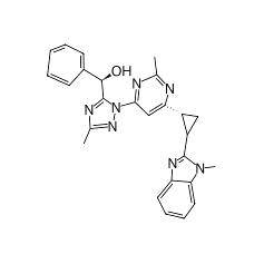 Cc1nc([C@@H]2CC2c2nc3ccccc3n2C)cc(-n2nc(C)nc2[C@H](O)c2ccccc2)n1